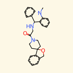 CN(C)c1ccccc1C(NCC(=O)N1CCC2(CC1)OCc1ccccc12)c1ccccc1